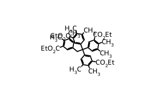 CCOC(=O)c1cc(CC(c2cc(C)c(C)c(C(=O)OCC)c2)(c2cc(C)c(C)c(C(=O)OCC)c2)c2cc(C)c(C)c(C(=O)OCC)c2)cc(C)c1C